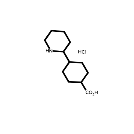 Cl.O=C(O)C1CCC(C2CCCCN2)CC1